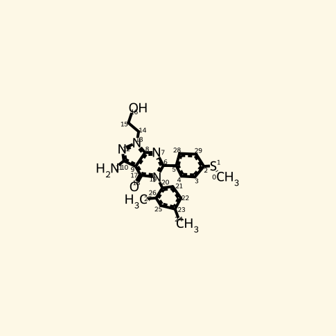 CSc1ccc(-c2nc3c(c(N)nn3CCO)c(=O)n2-c2ccc(C)cc2C)cc1